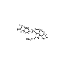 O=C(O)CCSC1c2cnccc2C=Cc2ccc(C=Cc3ccc4cc(F)c(F)cc4n3)cc21